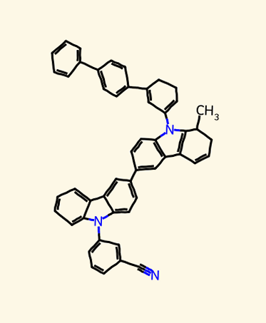 CC1CC=Cc2c1n(C1=CCCC(c3ccc(-c4ccccc4)cc3)=C1)c1ccc(-c3ccc4c(c3)c3ccccc3n4-c3cccc(C#N)c3)cc21